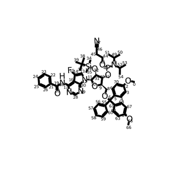 COc1ccc(C(OC[C@H]2O[C@@H](n3cc(F)c4c(NC(=O)c5ccccc5)ncnc43)[C@H](O[Si](C)(C)C(C)(C)C)[C@@H]2OP(OCCC#N)N(C(C)C)C(C)C)(c2ccccc2)c2ccc(OC)cc2)cc1